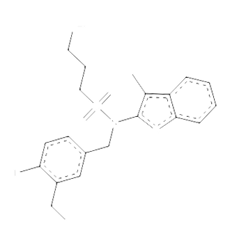 Cc1c(N(Cc2ccc(F)c(CF)c2)S(=O)(=O)CCCC=O)sc2ccccc12